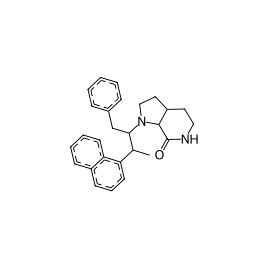 CC(c1cccc2ccccc12)C(Cc1ccccc1)N1CCC2CCNC(=O)C21